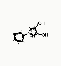 Oc1cn(-c2ccccc2)nc1O